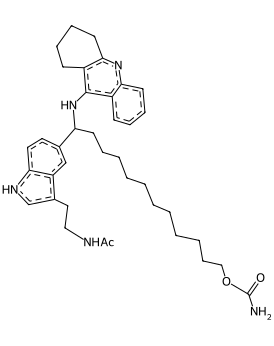 CC(=O)NCCc1c[nH]c2ccc(C(CCCCCCCCCCCOC(N)=O)Nc3c4c(nc5ccccc35)CCCC4)cc12